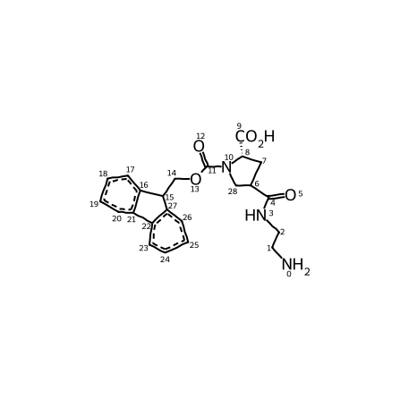 NCCNC(=O)C1C[C@@H](C(=O)O)N(C(=O)OCC2c3ccccc3-c3ccccc32)C1